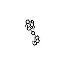 c1ccc2c(c1)Oc1ccc(-c3ccc(-c4ccc5ccc6cccnc6c5n4)cc3)cc1C21c2ccccc2-c2ccccc21